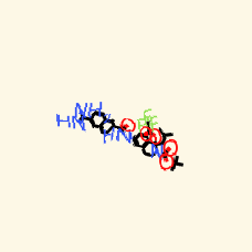 CC(C)CC1(OC(=O)C(F)(F)F)c2ccc(NC(=O)c3ccc4cc(C(=N)N)ccc4c3)cc2CCN1C(=O)OC(C)(C)C